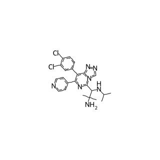 CC(C)NC(c1nc(-c2ccncc2)c(-c2ccc(Cl)c(Cl)c2)c2nncn12)C(C)(C)N